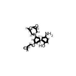 Nc1ccc(O)cc1.c1cc(OCC2CO2)cc(N(CC2CO2)CC2CO2)c1